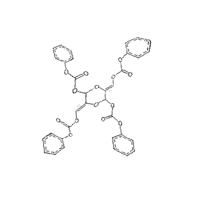 O=C(O/C=C1\OC(OC(=O)Oc2ccccc2)/C(=C/OC(=O)Oc2ccccc2)OC1OC(=O)Oc1ccccc1)Oc1ccccc1